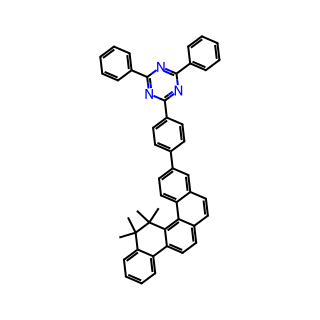 CC1(C)c2ccccc2-c2ccc3ccc4cc(-c5ccc(-c6nc(-c7ccccc7)nc(-c7ccccc7)n6)cc5)ccc4c3c2C1(C)C